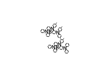 Cc1ccc(N(c2ccc(-c3cc(N4c5cc(N(c6ccccc6)c6ccccc6)ccc5B5c6ccccc6N(c6ccccc6)c6cccc4c65)ccc3C)cc2)c2ccc3c(c2)N(c2ccc(C)cc2)c2cccc4c2B3c2ccccc2N4c2ccccc2)cc1